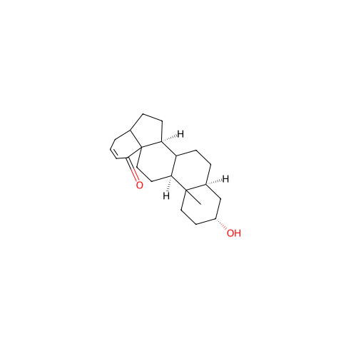 CC12CC[C@@H](O)C[C@@H]1CCC1[C@@H]3CCC4CC=CC(=O)C43CC[C@@H]12